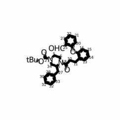 CC(C)(C)OC(=O)N1CCN(C(=O)CCc2ccccc2Oc2ccccc2C=O)C(Cc2ccccc2)C1